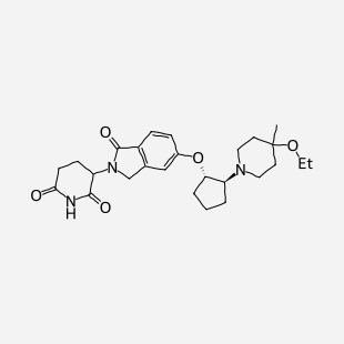 CCOC1(C)CCN([C@H]2CCC[C@@H]2Oc2ccc3c(c2)CN(C2CCC(=O)NC2=O)C3=O)CC1